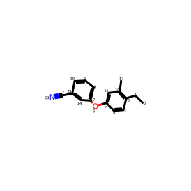 CCc1ccc(Oc2cccc(C#N)c2)cc1C